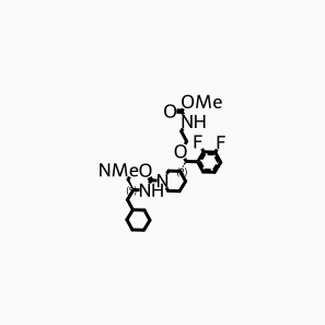 CNC[C@H](CC1CCCCC1)NC(=O)N1CCC[C@@H](C(OCCNC(=O)OC)c2cccc(F)c2F)C1